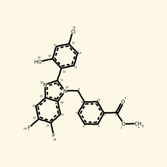 COC(=O)c1cccc(Cn2c(-c3ccc(Cl)cc3O)nc3cc(F)c(F)cc32)c1